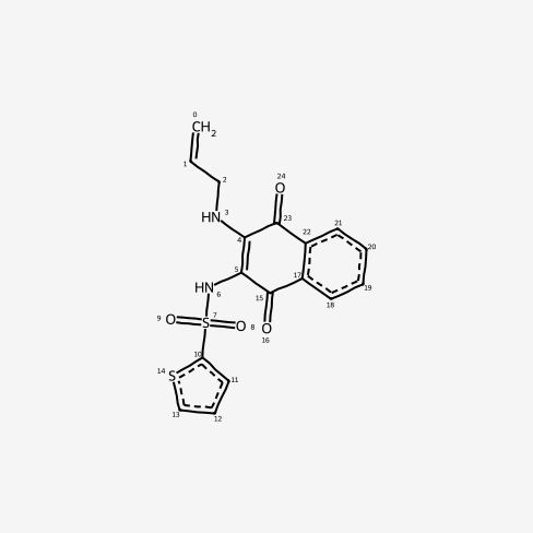 C=CCNC1=C(NS(=O)(=O)c2cccs2)C(=O)c2ccccc2C1=O